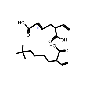 C=CC(C/C=C/C(=O)O)C(=O)O.C=CC(CCCCC(C)(C)C)C(=O)O